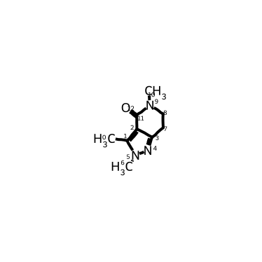 Cc1c2c(nn1C)CCN(C)C2=O